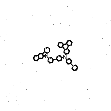 C1=Cc2c(n(-c3cccc(-c4ccc(N(c5ccc(-c6ccccc6)cc5)c5ccc6c7ccccc7c7ccccc7c6c5)cc4)c3)c3cc4ccccc4cc23)CC1